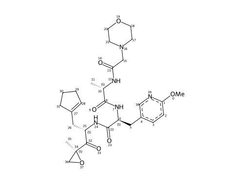 COc1ccc(C[C@H](NC(=O)[C@H](C)NC(=O)CN2CCOCC2)C(=O)N[C@@H](CC2=CCCC2)C(=O)[C@]2(C)CO2)cn1